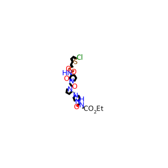 CCOC(=O)CNC(=O)N1CCN(C[C@@H]2CCCN2C(=O)CN2CCC[C@H](NS(=O)(=O)/C=C/c3ccc(Cl)s3)C2=O)CC1